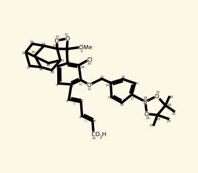 COC1(c2ccc(/C=C/C=C/C(=O)O)c(OCc3ccc(B4OC(C)(C)C(C)(C)O4)cc3)c2Cl)OOC12C1CC3CC(C1)CC2C3